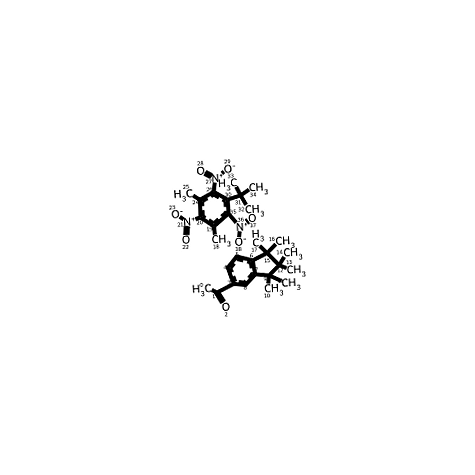 CC(=O)c1ccc2c(c1)C(C)(C)C(C)(C)C2(C)C.Cc1c([N+](=O)[O-])c(C)c([N+](=O)[O-])c(C(C)(C)C)c1[N+](=O)[O-]